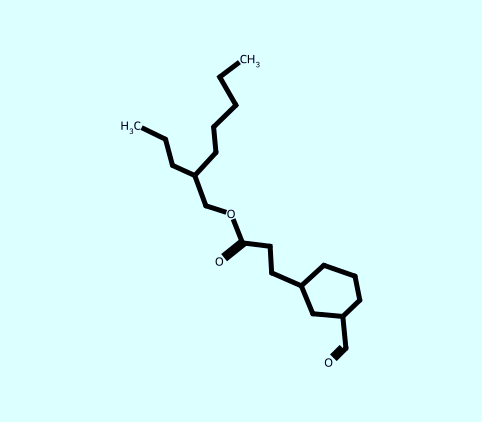 CCCCCC(CCC)COC(=O)CCC1CCCC(C=O)C1